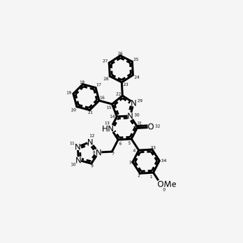 COc1ccc(-c2c(Cn3cnnn3)[nH]c3c(-c4ccccc4)c(-c4ccccc4)nn3c2=O)cc1